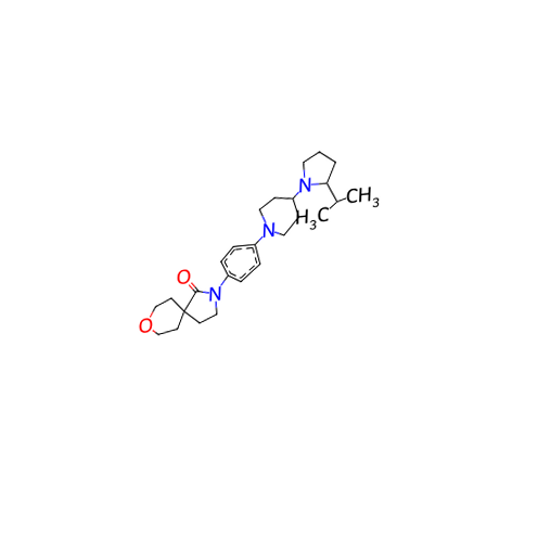 CC(C)C1CCCN1C1CCN(c2ccc(N3CCC4(CCOCC4)C3=O)cc2)CC1